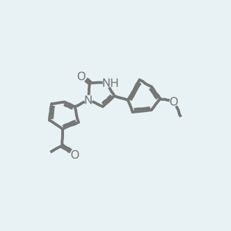 COc1ccc(-c2cn(-c3cccc(C(C)=O)c3)c(=O)[nH]2)cc1